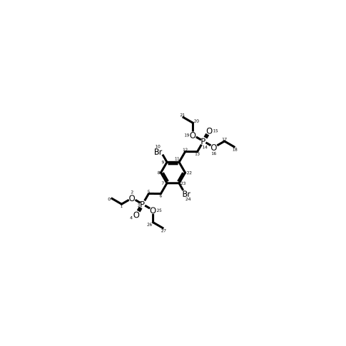 CCOP(=O)(CCc1cc(Br)c(CCP(=O)(OCC)OCC)cc1Br)OCC